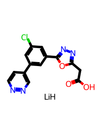 O=C(O)Cc1nnc(-c2cc(Cl)cc(-c3ccnnc3)c2)o1.[LiH]